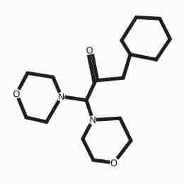 O=C(CC1CCCCC1)C(N1CCOCC1)N1CCOCC1